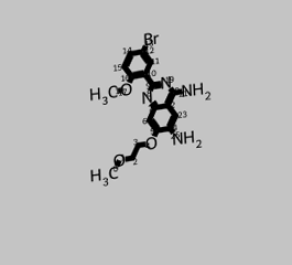 COCCOc1cc2nc(-c3cc(Br)ccc3OC)nc(N)c2cc1N